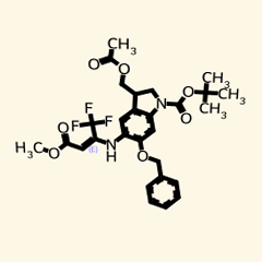 COC(=O)/C=C(/Nc1cc2c(cc1OCc1ccccc1)N(C(=O)OC(C)(C)C)CC2COC(C)=O)C(F)(F)F